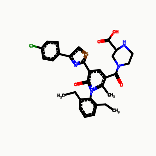 CCc1cccc(CC)c1-n1c(C)c(C(=O)N2CCNC(C(=O)O)C2)cc(-c2nc(-c3ccc(Cl)cc3)cs2)c1=O